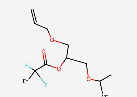 C=CCOCC(COC(C)C(F)(F)F)OC(=O)C(F)(F)CC